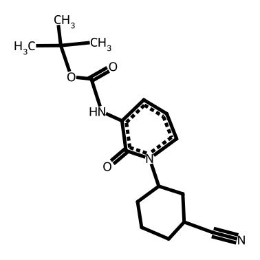 CC(C)(C)OC(=O)Nc1cccn(C2CCCC(C#N)C2)c1=O